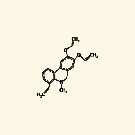 C=COc1cc2c(cc1OC=C)-c1cccc(C=C)c1N(C)C2